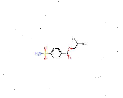 CCCCC(CC)COC(=O)c1ccc(S(N)(=O)=O)cc1